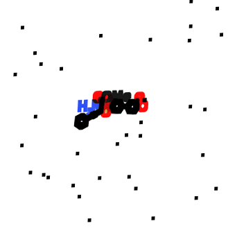 COC(=O)C(N)(CC#Cc1ccccc1)S(=O)(=O)c1ccc(-c2ccc3c(c2)OCO3)cc1